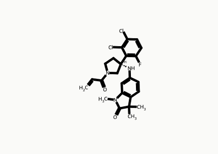 C=CC(=O)N1CC[C@@](Nc2ccc3c(c2)N(C)C(=O)C3(C)C)(c2c(F)ccc(Cl)c2Cl)C1